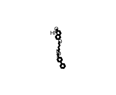 O=c1ccc2cc(OCCCC=NOSc3ccc(-c4ccccc4)cc3)ccc2[nH]1